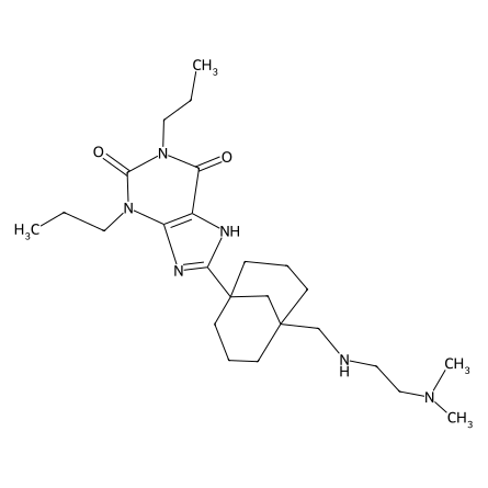 CCCn1c(=O)c2[nH]c(C34CCCC(CNCCN(C)C)(CCC3)C4)nc2n(CCC)c1=O